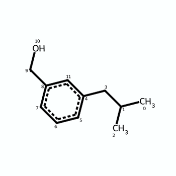 CC(C)Cc1cccc([CH]O)c1